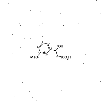 COc1cccc(C(O)CC(=O)O)c1